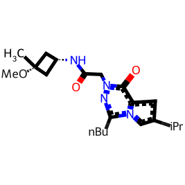 CCCCc1nn(CC(=O)N[C@H]2C[C@@](C)(OC)C2)c(=O)c2cc(C(C)C)cn12